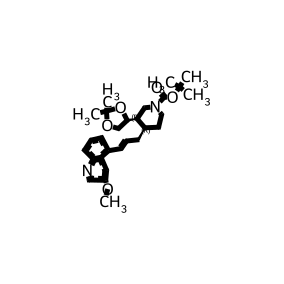 COc1cnc2cccc(C=CC[C@@H]3CCN(C(=O)OC(C)(C)C)C[C@@H]3C3COC(C)(C)O3)c2c1